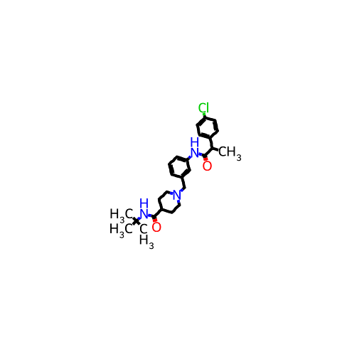 CC(C(=O)Nc1cccc(CN2CCC(C(=O)NC(C)(C)C)CC2)c1)c1ccc(Cl)cc1